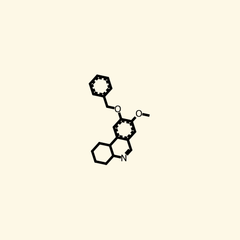 COc1cc2c(cc1OCc1ccccc1)C1CCCCC1N=C2